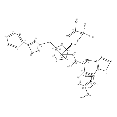 COC(=O)c1sccc1NC(C(=O)O[C@H]1C[N+]2(Cc3noc(-c4ccccc4)n3)CCC1CC2)c1ccc(OC)nc1.O=C([O-])C(F)(F)F